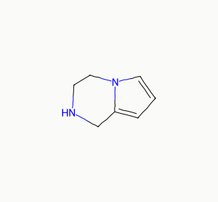 c1cc2n(c1)CCNC2